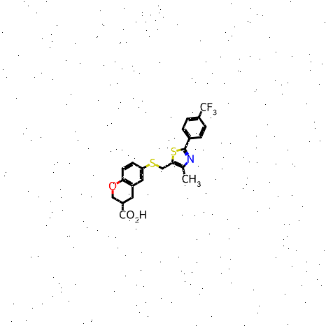 Cc1nc(-c2ccc(C(F)(F)F)cc2)sc1CSc1ccc2c(c1)CC(C(=O)O)CO2